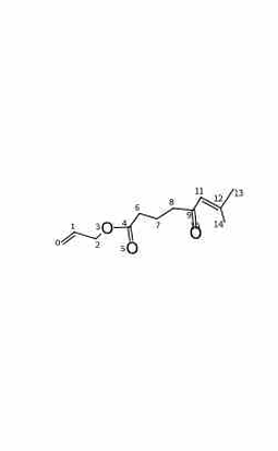 C=CCOC(=O)CCCC(=O)C=C(C)C